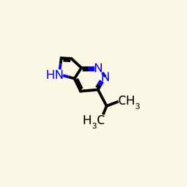 CC(C)c1cc2[nH]ccc2nn1